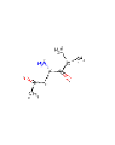 CC(=O)C[C@H](N)C(=O)C(C)C